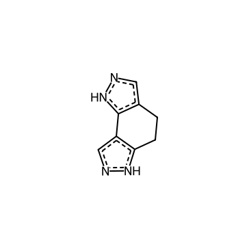 c1n[nH]c2c1CCc1[nH]ncc1-2